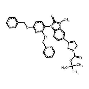 Cn1c(=O)n(-c2ccc(OCc3ccccc3)nc2OCc2ccccc2)c2ccc(C3=CCN(C(=O)OC(C)(C)C)C3)cc21